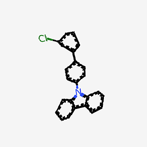 Clc1cccc(-c2ccc(-n3c4ccccc4c4ccccc43)cc2)c1